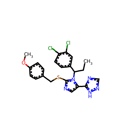 CCC(c1ccc(Cl)c(Cl)c1)n1c(-c2ncn[nH]2)cnc1SCc1ccc(OC)cc1